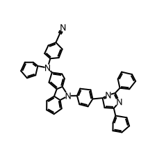 N#Cc1ccc(N(c2ccccc2)c2ccc3c(c2)c2ccccc2n3-c2ccc(-c3cc(-c4ccccc4)nc(-c4ccccc4)n3)cc2)cc1